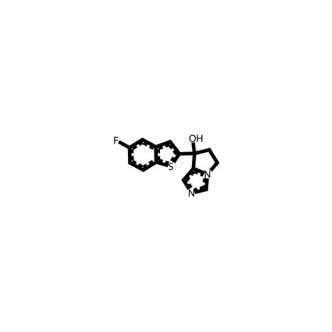 OC1(c2cc3cc(F)ccc3s2)CCn2cncc21